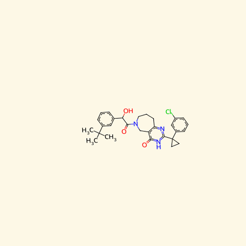 CC(C)(C)c1cccc(C(O)C(=O)N2CCCc3nc(C4(c5cccc(Cl)c5)CC4)[nH]c(=O)c3C2)c1